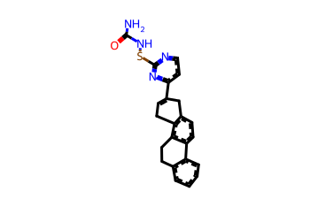 NC(=O)NSc1nccc(C2=CCc3c(ccc4c3CCc3ccccc3-4)C2)n1